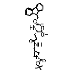 CC(C)(C)OC(=O)N1CC(CNC(=O)CC[C@H](NC(=O)OCC2c3ccccc3-c3ccccc32)C(=O)O)C1